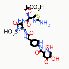 CC(C)(ON=C(C(=O)N[C@@H]1C(=O)N(S(=O)(=O)O)[C@H]1CNC(=O)Cc1ccc(NC(=O)c2cc(=O)c(O)cn2O)cc1)c1csc(N)n1)C(=O)O